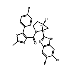 Cc1nc(C(=O)N2CC[C@@H]3C[C@@]32c2nc3cc(F)c(Br)cc3[nH]2)c(-c2ccc(F)cc2)s1